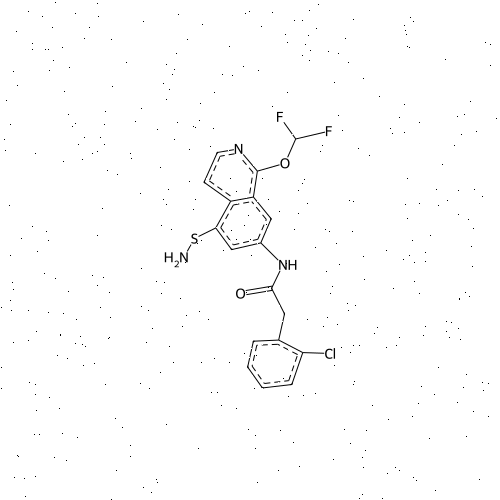 NSc1cc(NC(=O)Cc2ccccc2Cl)cc2c(OC(F)F)nccc12